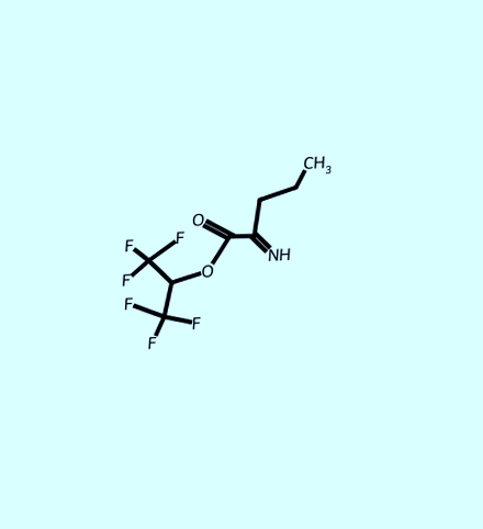 CCCC(=N)C(=O)OC(C(F)(F)F)C(F)(F)F